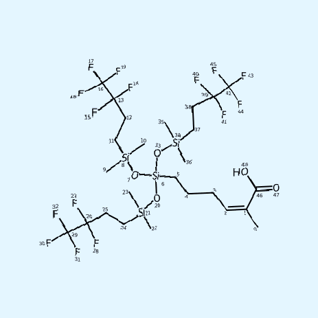 CC(=CCCC[Si](O[Si](C)(C)CCC(F)(F)C(F)(F)F)(O[Si](C)(C)CCC(F)(F)C(F)(F)F)O[Si](C)(C)CCC(F)(F)C(F)(F)F)C(=O)O